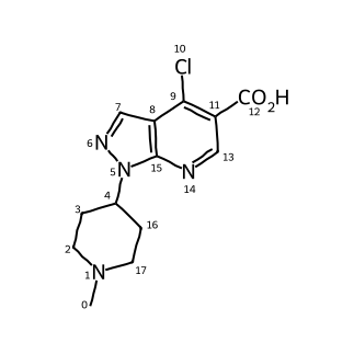 CN1CCC(n2ncc3c(Cl)c(C(=O)O)cnc32)CC1